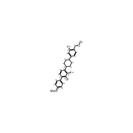 CCOCc1ccc(C2CCC(c3ccc(-c4ccc(OC)cc4)c(F)c3F)CC2)cc1F